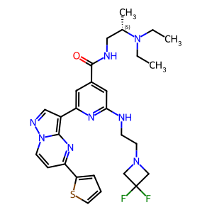 CCN(CC)[C@@H](C)CNC(=O)c1cc(NCCN2CC(F)(F)C2)nc(-c2cnn3ccc(-c4cccs4)nc23)c1